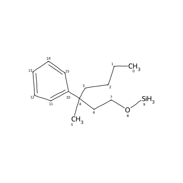 CCCCC(C)(CCO[SiH3])c1ccccc1